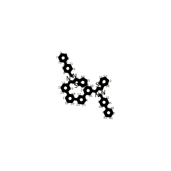 c1ccc(-c2ccc(-c3nc(-c4cccc(-c5cccc(-c6cccc(-c7cccc(-c8nc(-c9ccc(-c%10ccccc%10)cc9)nc9c8sc8ccccc89)c7)c6)c5)c4)c4sc5ccccc5c4n3)cc2)cc1